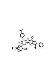 CC(C)c1ccc(Sc2nc3c(=O)n4cc(-c5ccccc5)[nH]c4nc3n2CC(O)C2OP(O)OCC2O)cc1